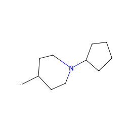 [CH2]C1CCN(C2CCCC2)CC1